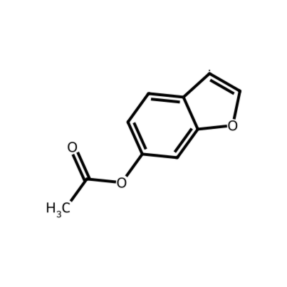 CC(=O)Oc1ccc2[c]coc2c1